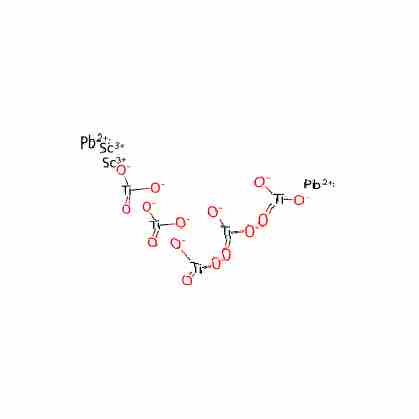 [O]=[Ti]([O-])[O-].[O]=[Ti]([O-])[O-].[O]=[Ti]([O-])[O-].[O]=[Ti]([O-])[O-].[O]=[Ti]([O-])[O-].[Pb+2].[Pb+2].[Sc+3].[Sc+3]